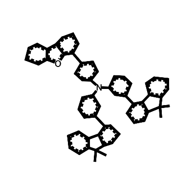 CC1(C)c2ccccc2-c2c(-c3cccc(N(c4ccc(-c5cccc6c5oc5ccccc56)cc4)c4cccc(-c5cccc6c5-c5ccccc5C6(C)C)c4)c3)cccc21